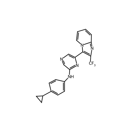 FC(F)(F)c1nc2ccccn2c1-c1cncc(Nc2ccc(C3CC3)cc2)n1